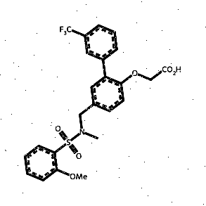 COc1ccccc1S(=O)(=O)N(C)Cc1ccc(OCC(=O)O)c(-c2cccc(C(F)(F)F)c2)c1